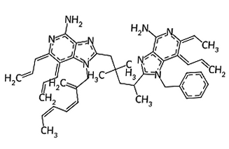 C=C/C=c1\c(=C/C=C)nc(N)c2nc(CC(C)(C)CC(C)c3nc4c(N)nc(=C/C)/c(=C\C=C)c4n3Cc3ccccc3)n(CC(=C)/C=C\C=C/C)c12